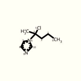 CCCC(C)(Cl)n1ccnc1